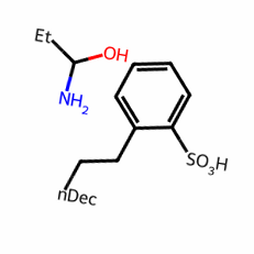 CCC(N)O.CCCCCCCCCCCCc1ccccc1S(=O)(=O)O